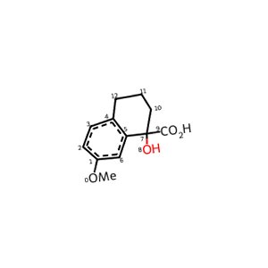 COc1ccc2c(c1)C(O)(C(=O)O)CCC2